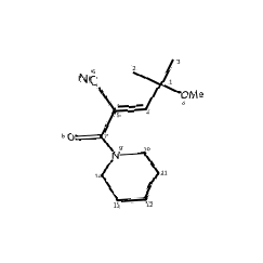 COC(C)(C)C=C(C#N)C(=O)N1C[CH]CCC1